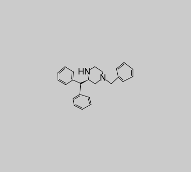 c1ccc(CN2CCN[C@H](C(c3ccccc3)c3ccccc3)C2)cc1